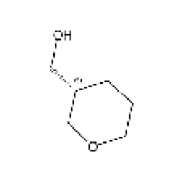 OC[C@@H]1CCCOC1